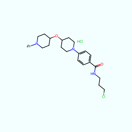 CC(C)N1CCC(OC2CCN(c3ccc(C(=O)NCCCCl)cc3)CC2)CC1.Cl